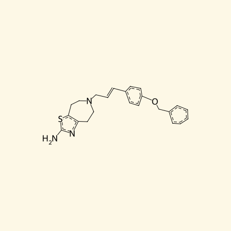 Nc1nc2c(s1)CCN(CC=Cc1ccc(OCc3ccccc3)cc1)CC2